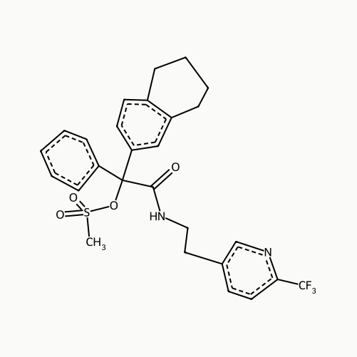 CS(=O)(=O)OC(C(=O)NCCc1ccc(C(F)(F)F)nc1)(c1ccccc1)c1ccc2c(c1)CCCC2